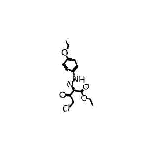 CCOC(=O)/C(=N\Nc1ccc(OCC)cc1)C(=O)CCl